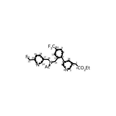 CCOC(=O)Cc1cncc(-c2ccc(C(F)(F)F)cc2CN(Cc2ccc(CF)nc2)C(C)=O)c1